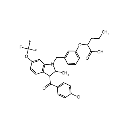 CCCC(Oc1cccc(CN2c3cc(OC(F)(F)F)ccc3C(C(=O)c3ccc(Cl)cc3)C2C)c1)C(=O)O